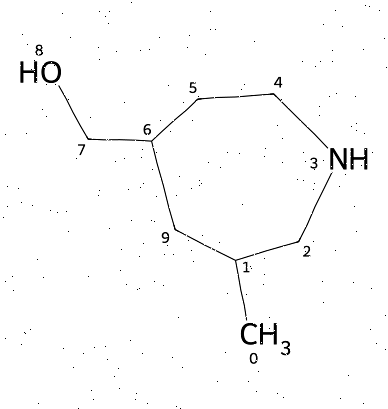 CC1CNCCC(CO)C1